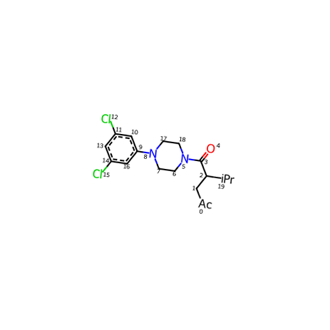 CC(=O)CC(C(=O)N1CCN(c2cc(Cl)cc(Cl)c2)CC1)C(C)C